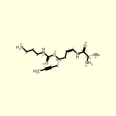 CC#CC[C@@H](C/C=C\NC(=O)[C@@H](N)C(C)(C)C)OC(=O)NCCCN